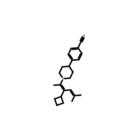 CC(C)=C/C(=C(/C)N1CCC(c2ccc(C#N)cc2)CC1)C1CCC1